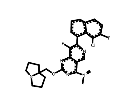 C=[N+](C)c1nc(OCC23CCCN2CCC3)nc2c(F)c(-c3cccc4ccc(F)c(Cl)c34)ncc12